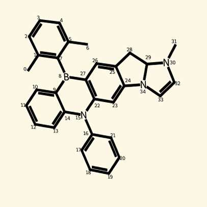 Cc1cccc(C)c1B1c2ccccc2N(c2ccccc2)c2cc3c(cc21)CC1N(C)C=CN31